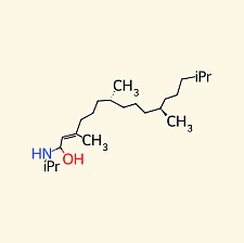 C/C(=C\C(O)NC(C)C)CCC[C@H](C)CCC[C@H](C)CCCC(C)C